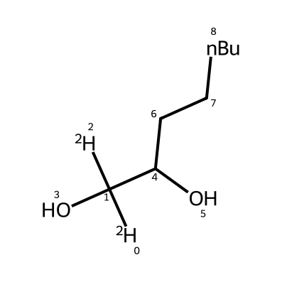 [2H]C([2H])(O)C(O)CCCCCC